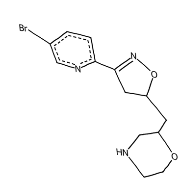 Brc1ccc(C2=NOC(CC3CNCCO3)C2)nc1